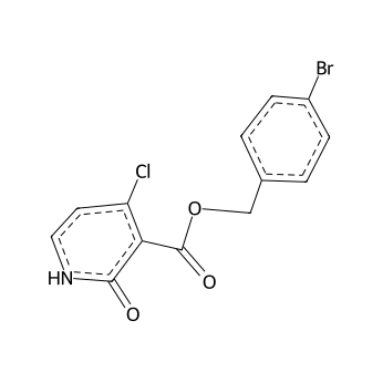 O=C(OCc1ccc(Br)cc1)c1c(Cl)cc[nH]c1=O